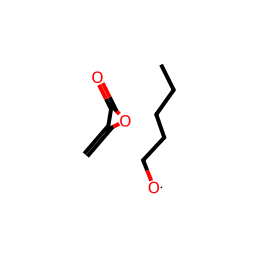 C=C1OC1=O.CCCCC[O]